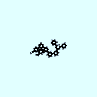 CCC1=CCC2(c3cc(-c4cccc(-c5cccc(-c6cc(-c7ccccc7)nc(-c7ccccc7)c6)c5)c4)ccc3-c3cccc(-c4ccc(C#N)cc4)c32)C(C)C1